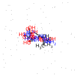 CC(C)C[C@H](NC(=O)[C@@H](N)CO)C(=O)N[C@@H](C)C(=O)N[C@@H](CCCCN)C(=O)NCC(=O)N[C@@H](CC(=O)O)C(=O)N[C@@H](CCC(=O)O)C(=O)N[C@@H](CCC(=O)O)C(=O)O